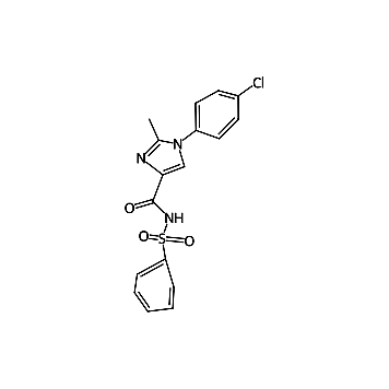 Cc1nc(C(=O)NS(=O)(=O)c2ccccc2)cn1-c1ccc(Cl)cc1